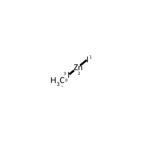 [CH3].[I][Zn][I]